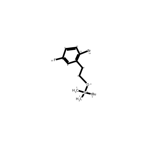 CC(C)(C)[Si](C)(C)OCCc1cc(F)ccc1Br